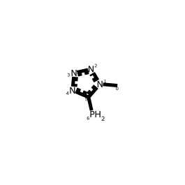 Cn1nnnc1P